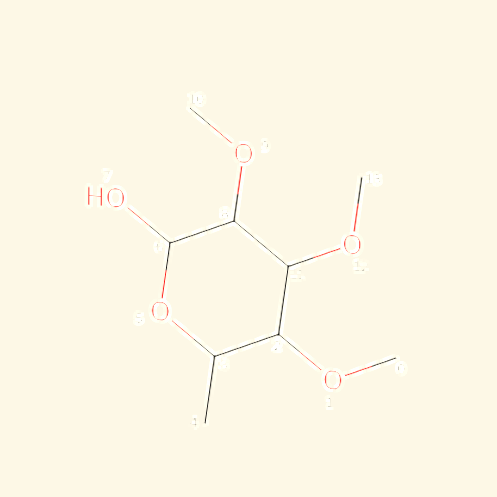 COC1C(C)OC(O)C(OC)C1OC